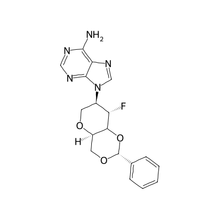 Nc1ncnc2c1ncn2[C@@H]1CO[C@@H]2CO[C@@H](c3ccccc3)OC2[C@H]1F